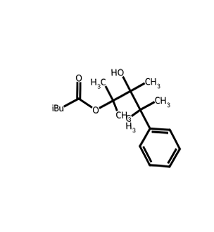 CCC(C)C(=O)OC(C)(C)C(C)(O)C(C)(C)c1ccccc1